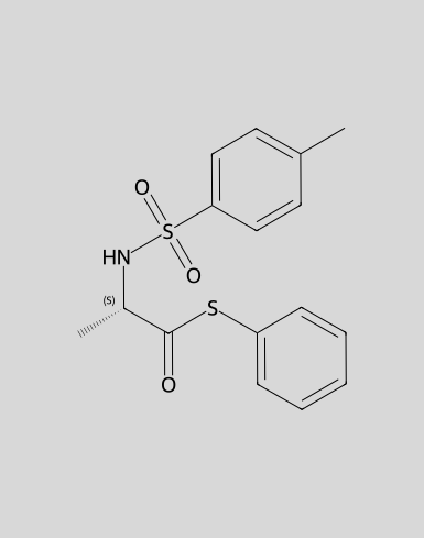 Cc1ccc(S(=O)(=O)N[C@@H](C)C(=O)Sc2ccccc2)cc1